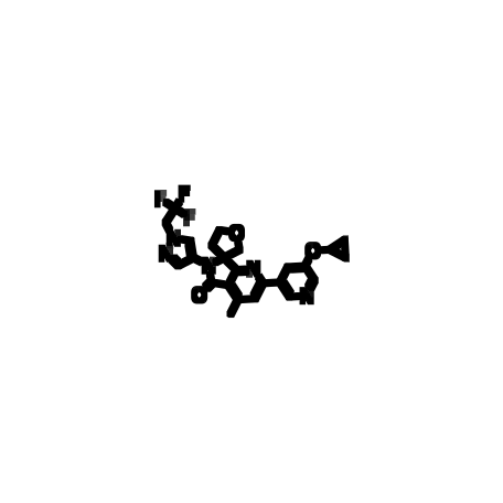 Cc1cc(-c2cncc(OC3CC3)c2)nc2c1C(=O)N(c1cnn(CC(F)(F)F)c1)C21CCOC1